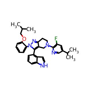 CC(C)COc1ccccc1-n1nc2c(c1-c1cccc3[nH]ccc13)CN(c1ncc(C(C)C)cc1F)CC2